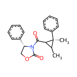 CC1C(C(=O)N2C(=O)OC[C@@H]2c2ccccc2)[C@@]1(C)c1ccccc1